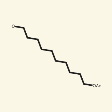 CC(=O)OCCCCCCCCCC[O]